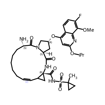 COc1c(F)ccc2c(O[C@@H]3C[C@H]4C(=O)N[C@]5(C(=O)NS(=O)(=O)C6(C)CC6)CC5/C=C\CCCCC[C@H](N)C(=O)N4C3)cc(OC(C)C)nc12